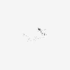 COc1c(NS(C)(=O)=O)cc(C(C)(C)C)cc1N(C(N)=O)c1ccc(Oc2ccnc(Nc3ccc(C(=O)NCCN4CCOCC4)c(O)c3)c2)c2ccccc12